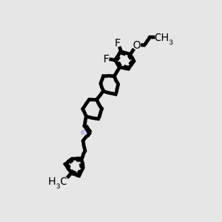 CCCOc1ccc(C2CCC(C3CCC(/C=C/CCc4ccc(C)cc4)CC3)CC2)c(F)c1F